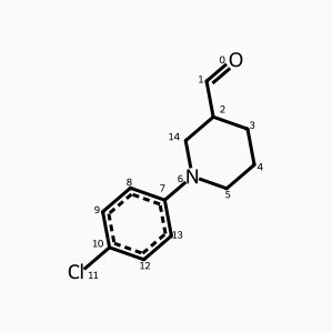 O=CC1CCCN(c2ccc(Cl)cc2)C1